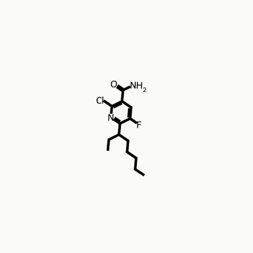 CCCCCC(CC)c1nc(Cl)c(C(N)=O)cc1F